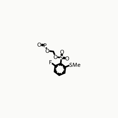 CSc1cccc(F)c1S(=O)(=O)OCOP=O